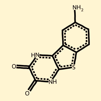 Nc1ccc2sc3[nH]c(=O)c(=O)[nH]c3c2c1